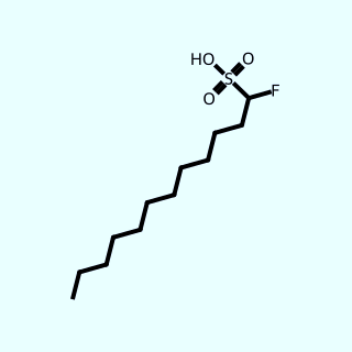 CCCCCCCCCCCC(F)S(=O)(=O)O